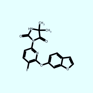 CC1(C)NC(=O)N(c2ccc(F)c(Oc3ccc4ccoc4c3)n2)C1=O